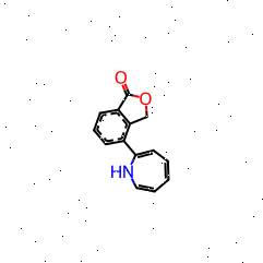 O=C1OCc2c1cccc2C1=CC=CC=CN1